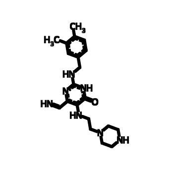 Cc1ccc(CNc2nc(C=N)c(NCCN3CCNCC3)c(=O)[nH]2)cc1C